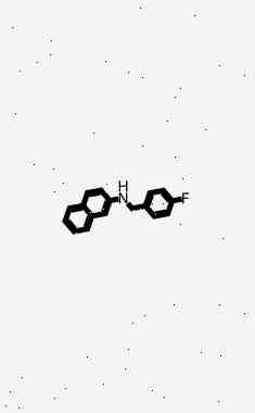 Fc1ccc(CNc2ccc3ccccc3c2)cc1